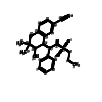 CCCS(=O)(=O)NN(c1ccccc1)C1c2cc(C#N)ccc2OC(C)(C)C1O